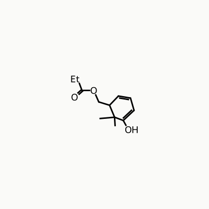 CCC(=O)OCC1C=CC=C(O)C1(C)C